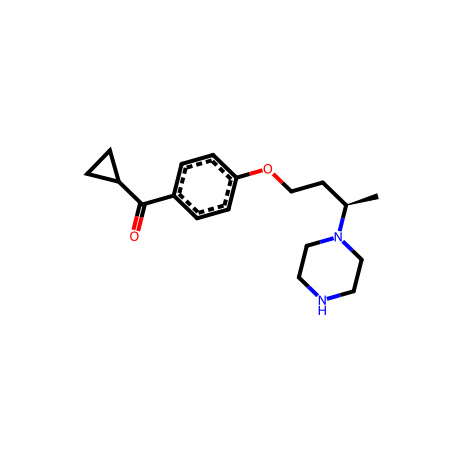 C[C@H](CCOc1ccc(C(=O)C2CC2)cc1)N1CCNCC1